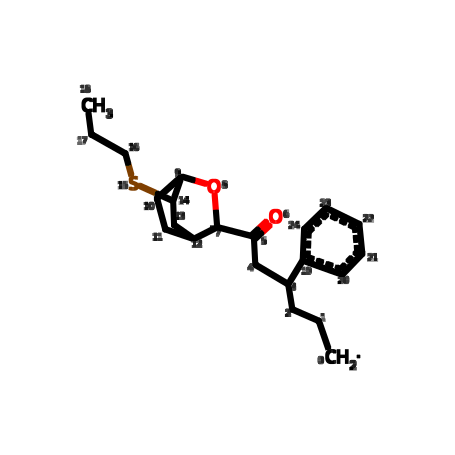 [CH2]CCC(CC(=O)[C]1OC2CCC1CC2SCCC)c1ccccc1